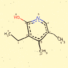 CCc1c(O)ncc(C)c1C